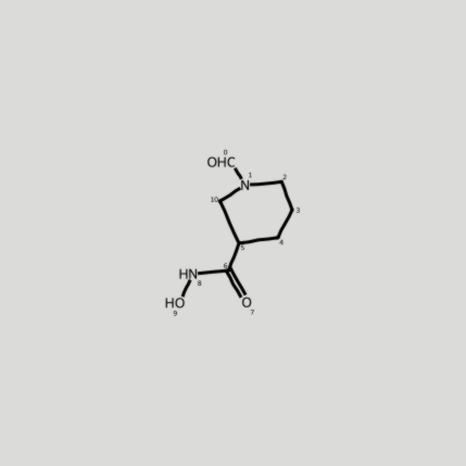 O=CN1CCCC(C(=O)NO)C1